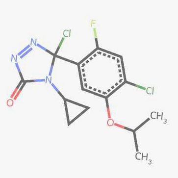 CC(C)Oc1cc(C2(Cl)N=NC(=O)N2C2CC2)c(F)cc1Cl